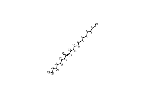 CCCCCCCCCCCCC/C=C(\C)CCCCCCCC